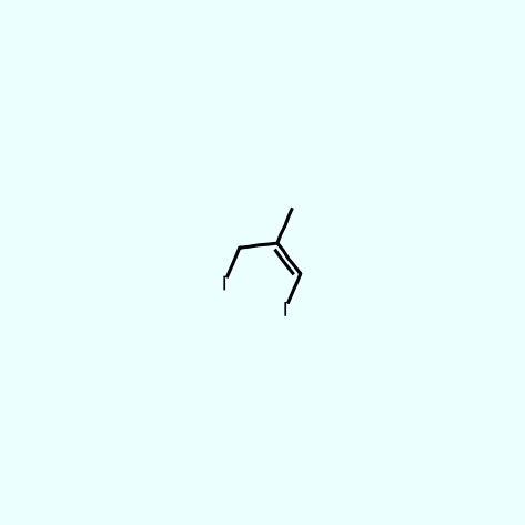 CC(=CI)CI